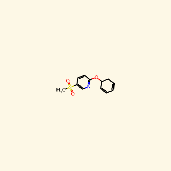 CS(=O)(=O)c1ccc(OC2C=CC=CC2)nc1